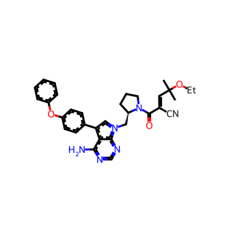 CCOC(C)(C)C=C(C#N)C(=O)N1CCC[C@@H]1Cn1cc(-c2ccc(Oc3ccccc3)cc2)c2c(N)ncnc21